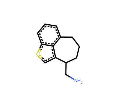 NCC1CCCc2cccc3scc1c23